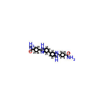 NC(=O)c1ccc(-c2nc3cc(-c4ccc5[nH]c(-c6ccc(C(N)=O)cc6)nc5c4)ccc3[nH]2)cc1